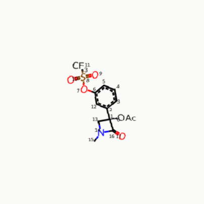 CC(=O)O[C@]1(c2cccc(OS(=O)(=O)C(F)(F)F)c2)CN(C)C1=O